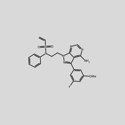 C=CS(=O)(=O)N(CCn1nc(-c2cc(F)cc(OC)c2)c2c(N)ncnc21)c1ccccc1